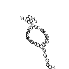 COCCOCCOCCOc1ccc2c(c1)OCCOCCOCCOCCOc1ccc(C(=O)OC(C)C)cc1OCCOCCOCCOCCO2